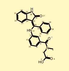 CN(CC(=O)O)C(=O)c1cccc(NC(=C2C(=O)Nc3ccccc32)c2ccccc2)c1